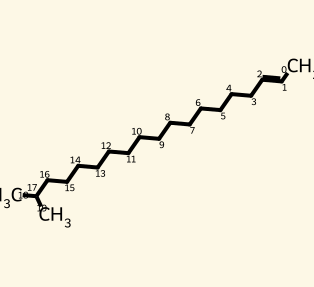 [CH2]C=CCCCCCCCCCCCCCCC(C)C